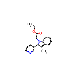 CCOC(=O)Cn1c(-c2cccnc2)c(C)c2ccccc21